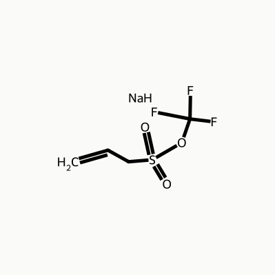 C=CCS(=O)(=O)OC(F)(F)F.[NaH]